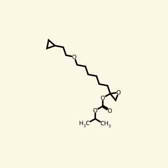 CC(C)OC(=O)OC1(CCCCCCOCCC2CC2)CO1